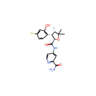 C[C@H]1[C@@H](c2ccc(F)cc2O)[C@H](C(=O)Nc2ccnc(C(N)=O)c2)OC1(C)C